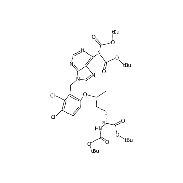 CC(CC[C@@H](NC(=O)OC(C)(C)C)C(=O)OC(C)(C)C)Oc1ccc(Cl)c(Cl)c1Cn1cnc2c(N(C(=O)OC(C)(C)C)C(=O)OC(C)(C)C)ncnc21